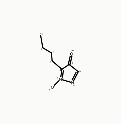 [CH2]CCCC1=[N+]([O-])N=CC1=O